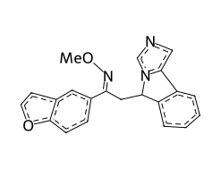 CON=C(CC1c2ccccc2-c2cncn21)c1ccc2occc2c1